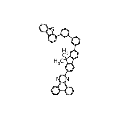 CC1(C)c2cc(-c3cccc(-c4cccc(-c5cccc6c5sc5ccccc56)c4)c3)ccc2-c2ccc(-c3cnc4c5ccccc5c5ccccc5c4n3)cc21